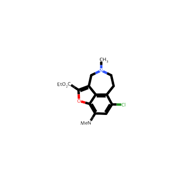 CCOC(=O)c1oc2c(NC)cc(Cl)c3c2c1CN(C)CC3